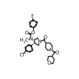 CN(C(=O)Oc1ccc(F)cc1)[C@@H]1CN(C(=O)C2CCN(C(=O)C3CCOCC3)CC2)C[C@H]1c1ccc(Cl)cc1